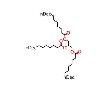 CCCCCCCCCCCCCCCCC(=O)OCC(COC(=O)CCCCCCCCCCCCCCCC)OC(=O)CCCCCCCCCCCCCCCC